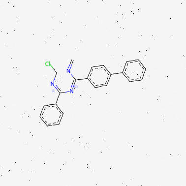 C=N/C(=N\C(=N/CCl)c1ccccc1)c1ccc(-c2ccccc2)cc1